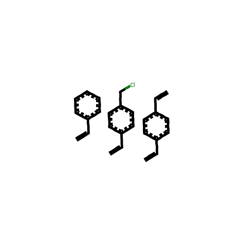 C=Cc1ccc(C=C)cc1.C=Cc1ccc(CCl)cc1.C=Cc1ccccc1